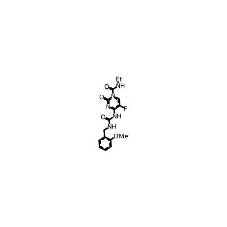 CCNC(=O)n1cc(F)c(NC(=O)NCc2ccccc2OC)nc1=O